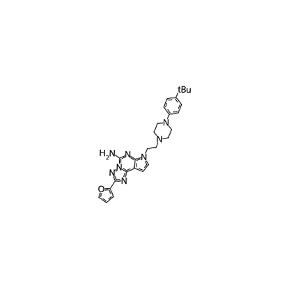 CC(C)(C)c1ccc(N2CCN(CCn3ccc4c3nc(N)n3nc(-c5ccco5)nc43)CC2)cc1